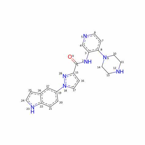 O=C(Nc1cnccc1N1CCNCC1)c1ccn(-c2ccc3[nH]ccc3c2)n1